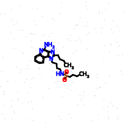 CCCCc1nc2c(N)nc3ccccc3c2n1CCCCNS(=O)(=O)CCCC